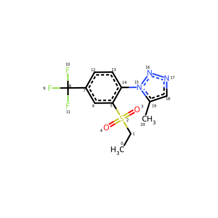 CCS(=O)(=O)c1cc(C(F)(F)F)ccc1-n1nncc1C